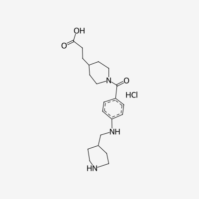 Cl.O=C(O)CCC1CCN(C(=O)c2ccc(NCC3CCNCC3)cc2)CC1